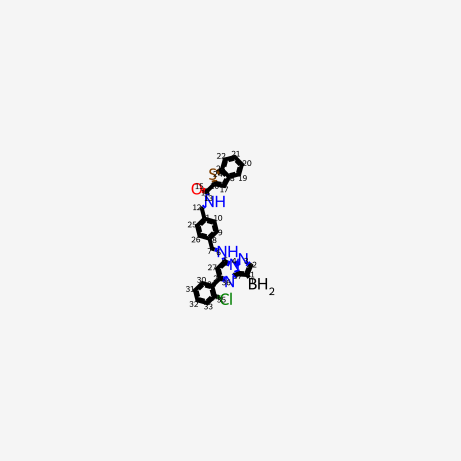 Bc1cnn2c(NCc3ccc(CNC(=O)c4cc5ccccc5s4)cc3)cc(-c3ccccc3Cl)nc12